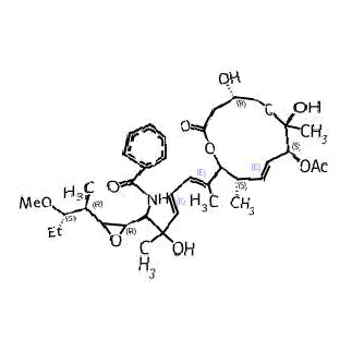 CC[C@H](OC)[C@@H](C)C1O[C@@H]1C(NC(=O)c1ccccc1)C(C)(O)/C=C/C=C(\C)C1OC(=O)C[C@H](O)CCC(C)(O)[C@@H](OC(C)=O)/C=C/[C@@H]1C